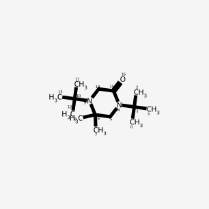 CC(C)(C)N1CC(C)(C)N(C(C)(C)C)CC1=O